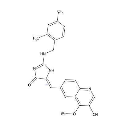 CC(C)Oc1c(C#N)cnc2ccc(/C=C3\NC(NCc4ccc(C(F)(F)F)cc4C(F)(F)F)=NC3=O)nc12